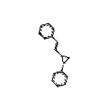 C(=C\[C@H]1C[C@H]1c1ccccc1)/c1ccccc1